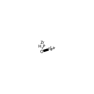 P.[La].[O]=[Fe].[Zr]